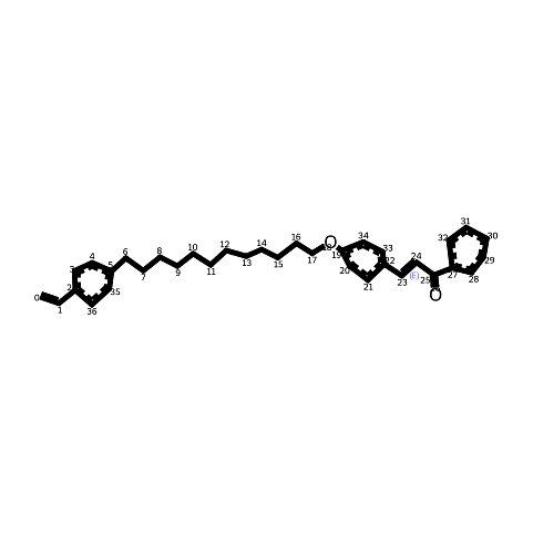 C=Cc1ccc(CCCCCCCCCCCCOc2ccc(/C=C/C(=O)c3ccccc3)cc2)cc1